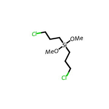 CO[Si](CCCCl)(CCCCl)OC